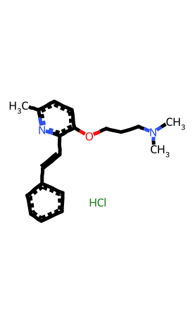 Cc1ccc(OCCCN(C)C)c(C=Cc2ccccc2)n1.Cl